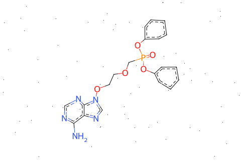 Nc1ncnc2c1ncn2OCCOCP(=O)(Oc1ccccc1)Oc1ccccc1